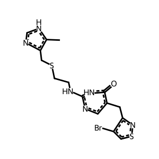 Cc1[nH]cnc1CSCCNc1ncc(Cc2nscc2Br)c(=O)[nH]1